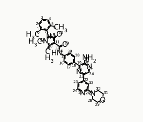 Cc1cccc(C)c1-n1c(=O)c(C(=O)Nc2ccc(-c3nc(-c4ccnc(N5CCOCC5)c4)cnc3N)cc2)c(C)n1C